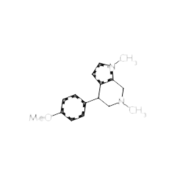 COc1ccc(C2CN(C)Cc3c2ccn3C)cc1